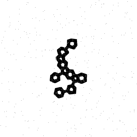 c1ccc(-c2cccc(-n3c4ccccc4c4cc5c6cc7c(cc6n(-c6ccccc6)c5cc43)sc3ccc(-c4ccccc4)cc37)c2)cc1